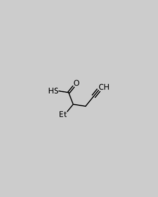 C#CCC(CC)C(=O)S